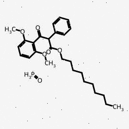 CCCCCCCCCCOC(=O)C(C(=O)c1c(OC)cccc1OC)c1ccccc1.O=[PH3]